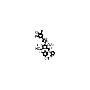 CC(=O)OC1C(C(=O)N(c2cc(Cl)cc(C#N)c2)[C@H]2CCC[C@@H]2O)OC(CO)C(O)C1n1cc(-c2cc(F)c(Cl)c(F)c2)nn1